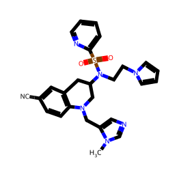 Cn1cncc1CN1CC(N(CCn2cccc2)S(=O)(=O)c2ccccn2)Cc2cc(C#N)ccc21